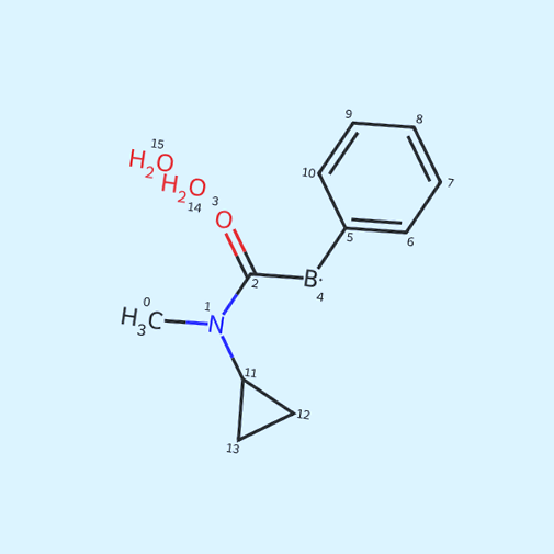 CN(C(=O)[B]c1ccccc1)C1CC1.O.O